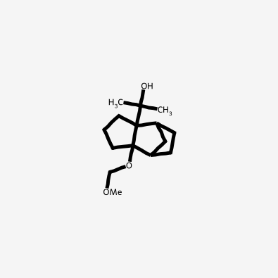 COCOC12CCCC1(C(C)(C)O)C1CCC2C1